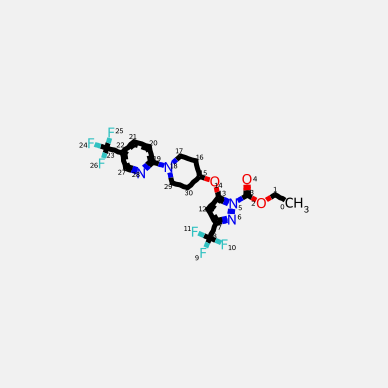 CCOC(=O)n1nc(C(F)(F)F)cc1OC1CCN(c2ccc(C(F)(F)F)cn2)CC1